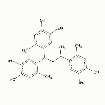 CCC(C)c1cc(C(C)CC(c2cc(C(C)CC)c(O)cc2C)c2cc(C(C)CC)c(O)cc2C)c(C)cc1O